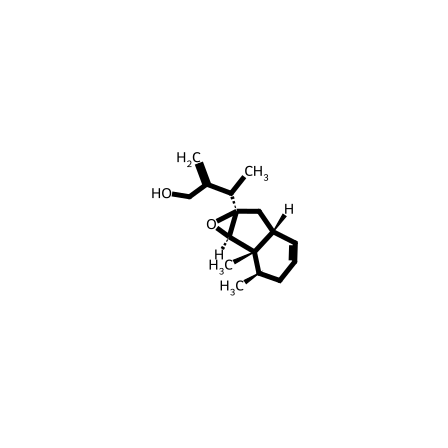 C=C(CO)C(C)[C@]12C[C@@H]3C=CC[C@@H](C)[C@]3(C)[C@H]1O2